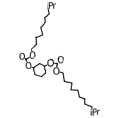 CC(C)CCCCCCCCCOC(=O)OC1CCCC(OC(=O)OCCCCCCCCC(C)C)C1